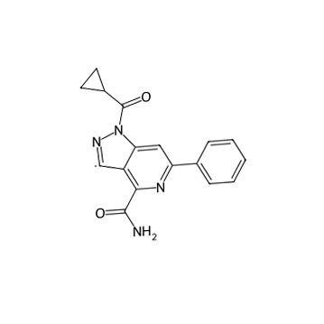 NC(=O)c1nc(-c2ccccc2)cc2c1[c]nn2C(=O)C1CC1